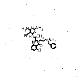 C[C@H](Nc1nc(N)nc(N)c1C#N)c1nc2cccc(Cl)c2c(=O)n1CCCN(C)Cc1ccccc1